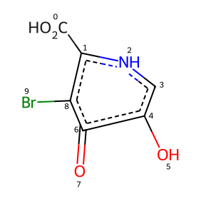 O=C(O)c1[nH]cc(O)c(=O)c1Br